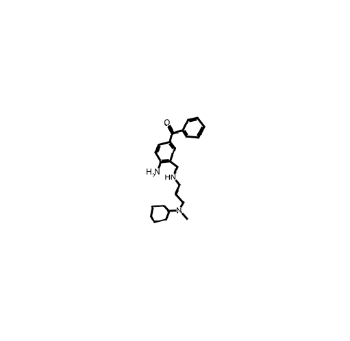 CN(CCCNCc1cc(C(=O)c2ccccc2)ccc1N)C1CCCCC1